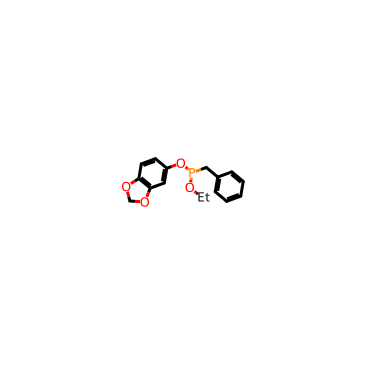 CCOP(Cc1ccccc1)Oc1ccc2c(c1)OCO2